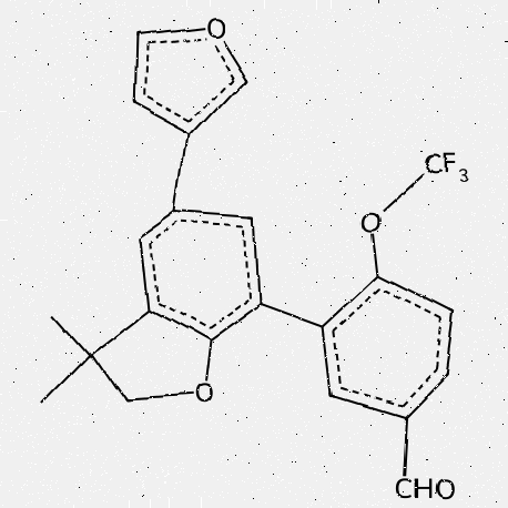 CC1(C)COc2c(-c3cc(C=O)ccc3OC(F)(F)F)cc(-c3ccoc3)cc21